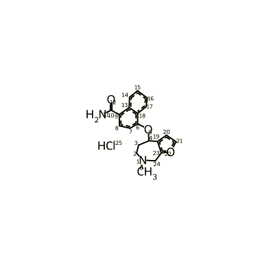 CN1CCC(Oc2ccc(C(N)=O)c3ccccc23)c2ccoc2C1.Cl